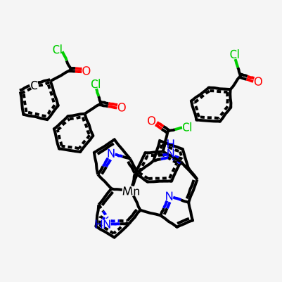 O=C(Cl)c1c[c]2ccc1C1=C3C=CC(=N3)[C]3=c4ccc([nH]4)=[C]4C5=NC(=[C](c6ccc1[nH]6)[Mn]342)C=C5.O=C(Cl)c1ccccc1.O=C(Cl)c1ccccc1.O=C(Cl)c1ccccc1